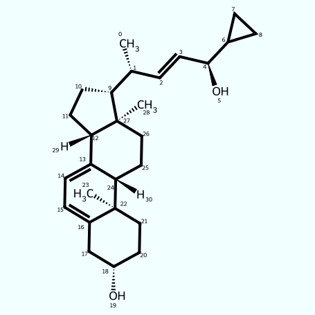 C[C@H](/C=C/[C@H](O)C1CC1)[C@H]1CC[C@H]2C3=CC=C4C[C@@H](O)CC[C@]4(C)[C@H]3CC[C@]12C